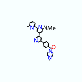 CNc1cc(-c2cncc(-c3ccc(C(=O)N4CCN(C)CC4)cc3)c2)cc(-c2cccc(C)n2)n1